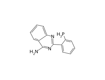 Nc1nc(-c2ccccc2P)nc2ccccc12